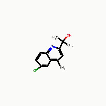 Bc1cc(C(C)(C)O)nc2ccc(Cl)cc12